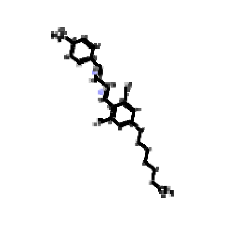 CCCCCCCc1cc(F)c(/C=N/N=C/c2ccc(C)cc2)c(F)c1